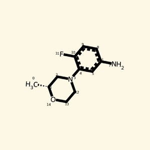 C[C@@H]1CN(c2cc(N)ccc2F)CCO1